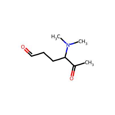 CC(=O)C(CCC=O)N(C)C